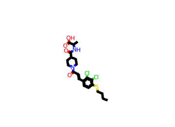 CCCCSc1ccc(C=CC(=O)N2CCC(C(=O)NC(C)C(=O)O)CC2)c(Cl)c1Cl